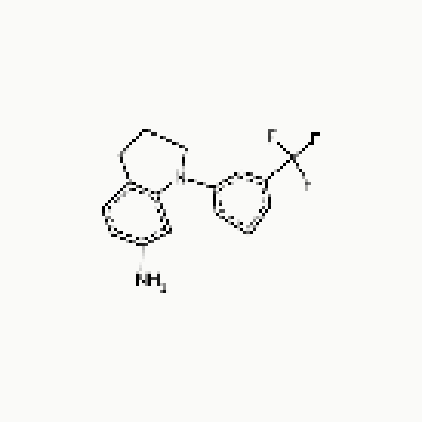 Nc1ccc2c(c1)N(c1cccc(C(F)(F)F)c1)CCC2